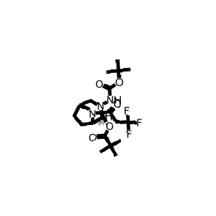 CC(C)(C)OC(=O)NN1CC2CCC([C@H]1OC(=O)C(C)(C)C)N(C(=O)CC(F)(F)F)C2